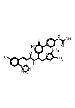 Cc1nc(CC(NC(=O)C=Cc2cc(Cl)ccc2-n2cnnn2)c2cc(-c3ccc(NC(=O)O)cc3)c(=O)[nH]n2)sc1C